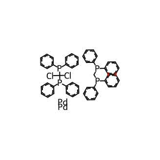 ClC(Cl)(P(c1ccccc1)c1ccccc1)P(c1ccccc1)c1ccccc1.[Pd].[Pd].c1ccc(P(CP(c2ccccc2)c2ccccc2)c2ccccc2)cc1